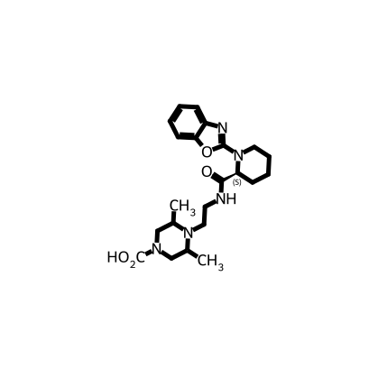 CC1CN(C(=O)O)CC(C)N1CCNC(=O)[C@@H]1CCCCN1c1nc2ccccc2o1